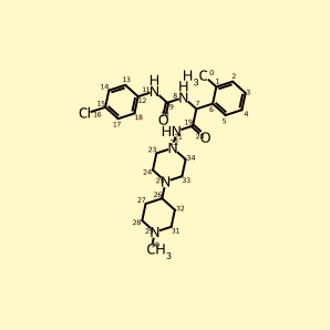 Cc1ccccc1C(NC(=O)Nc1ccc(Cl)cc1)C(=O)NN1CCN(C2CCN(C)CC2)CC1